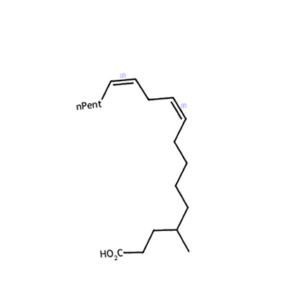 CCCCC/C=C\C/C=C\CCCCC(C)CCC(=O)O